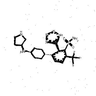 NS(=O)(=O)c1c(C(F)(F)F)ccc([C@H]2CC[C@H](NC3CCNC3)CC2)c1-c1nnn[nH]1